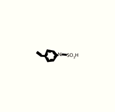 C=Cc1cc[c]([Ni][S](=O)(=O)O)cc1